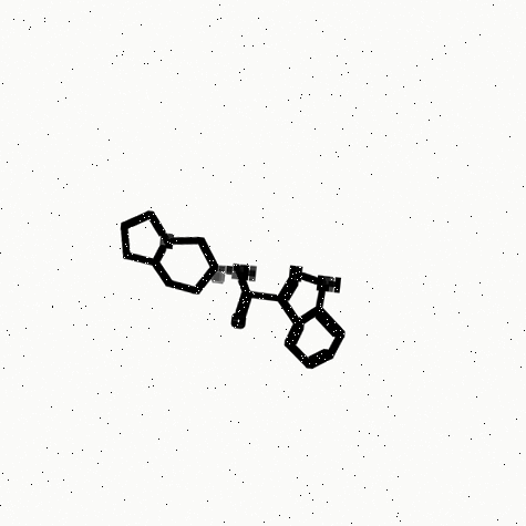 O=C(N[C@@H]1CCC2CCCN2C1)c1n[nH]c2ccccc12